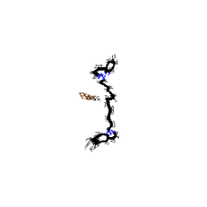 C(/C=C\CCCC[n+]1cccc2c1CCCC2)=C/CCCC[n+]1cccc2c1CCCC2.[Br-].[Br-]